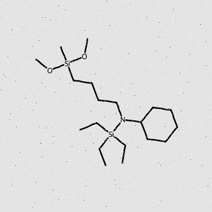 CC[Si](CC)(CC)N(CCCC[Si](C)(OC)OC)C1CCCCC1